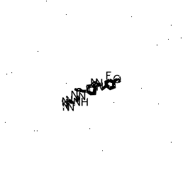 COc1ccc(Cn2nnc3cc(-c4ccnc(Nc5nnn(C)n5)n4)ccc32)cc1F